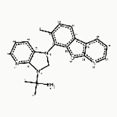 BC(C)(C)N1CN(c2c(C)ccc3c2oc2ncccc23)c2cccnc21